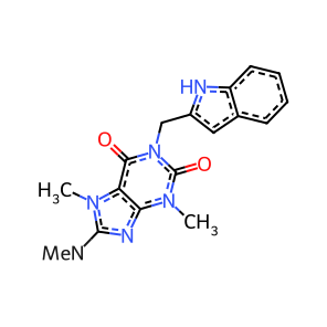 CNc1nc2c(c(=O)n(Cc3cc4ccccc4[nH]3)c(=O)n2C)n1C